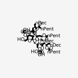 CCCCCCCCCCC[C@H](CC(=O)NC1[C@H](OC[C@@H](COP(=O)(O)O)NC(=O)C[C@@H](CCCCCCCCCCC)OC(=O)CCCCC)OC(CO)[C@@H](OP(=O)(O)O)[C@@H]1OC(=O)C[C@@H](CCCCCCCCCCC)OC(=O)CCCCC)OC(=O)CCCCC